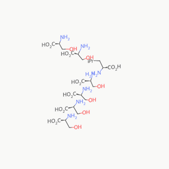 CC(C)C[C@H](N)C(=O)O.N[C@@H](CO)C(=O)O.N[C@@H](CO)C(=O)O.N[C@@H](CO)C(=O)O.N[C@@H](CO)C(=O)O.N[C@@H](CO)C(=O)O.N[C@@H](CO)C(=O)O